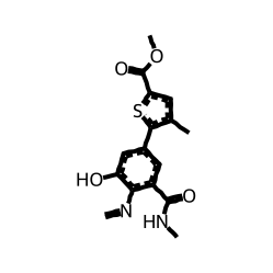 C=Nc1c(O)cc(-c2sc(C(=O)OC)cc2C)cc1C(=O)NC